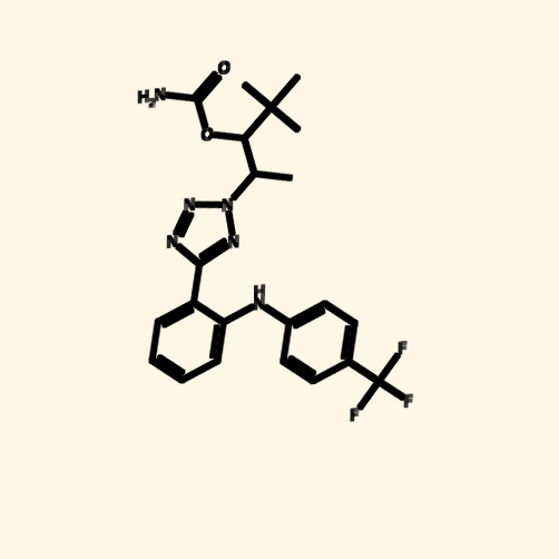 CC(C(OC(N)=O)C(C)(C)C)n1nnc(-c2ccccc2Nc2ccc(C(F)(F)F)cc2)n1